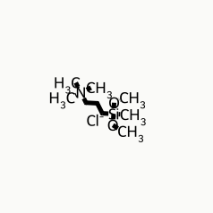 CO[Si](C)(CCC[N+](C)(C)C)OC.[Cl-]